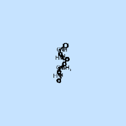 CC1(CNC(=O)c2ccc3[nH]c(Cc4ccccc4)nc3c2)CCC(c2ccccc2Cc2nc3cc(C(=O)NCC4CCCCCCC4)ccc3[nH]2)CC1